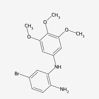 COc1cc(Nc2cc(Br)ccc2N)cc(OC)c1OC